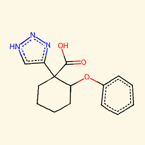 O=C(O)C1(c2c[nH]nn2)CCCCC1Oc1ccccc1